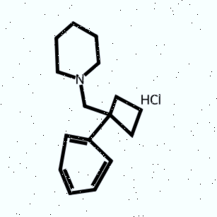 Cl.c1ccc(C2(CN3CCCCC3)CCC2)cc1